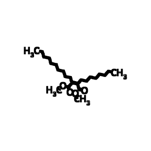 CCCCCCCCCC/C(C(=O)OC)=C(\CCCCCCCC)C(=O)OC